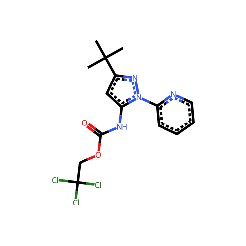 CC(C)(C)c1cc(NC(=O)OCC(Cl)(Cl)Cl)n(-c2ccccn2)n1